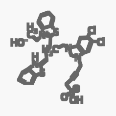 CCN1CN(CC#CCS(=O)(=O)O)c2cc(Cl)c(Cl)cc21.CC[n+]1c(C=CC=C2Nc3ccccc3S2)sc2ccccc21.[OH-]